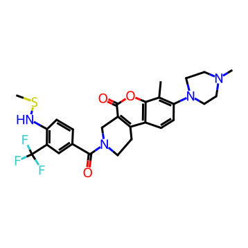 CSNc1ccc(C(=O)N2CCc3c(c(=O)oc4c(C)c(N5CCN(C)CC5)ccc34)C2)cc1C(F)(F)F